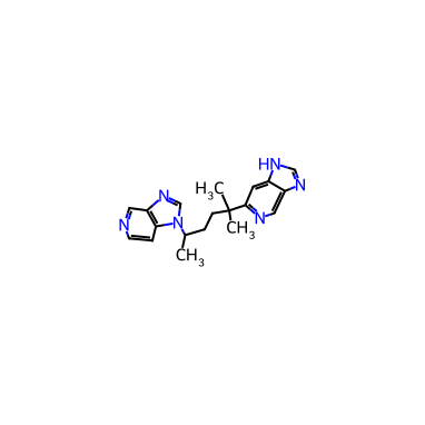 CC(CCC(C)(C)c1cc2[nH]cnc2cn1)n1cnc2cnccc21